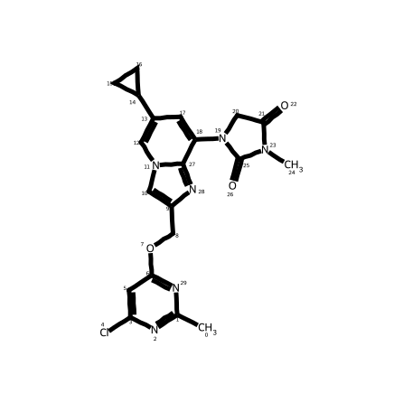 Cc1nc(Cl)cc(OCc2cn3cc(C4CC4)cc(N4CC(=O)N(C)C4=O)c3n2)n1